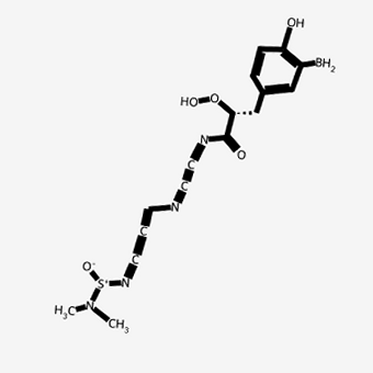 Bc1cc(C[C@@H](OO)C(=O)N=C=C=NC=C=C=N[S+]([O-])N(C)C)ccc1O